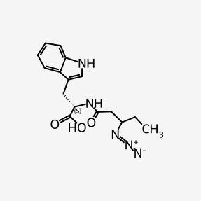 CCC(CC(=O)N[C@@H](Cc1c[nH]c2ccccc12)C(=O)O)N=[N+]=[N-]